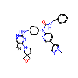 Cn1cc(-c2ccc(N(C(=O)NCc3ccccc3)[C@H]3CC[C@H](Nc4ncc(C#N)c(N5CCC6(COC6)C5)n4)CC3)nc2)cn1